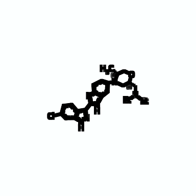 CCN(CC)C[C@@H]1CN(c2ccc3nc(-c4n[nH]c5cc(Cl)ccc45)[nH]c3c2)[C@H](C)CO1